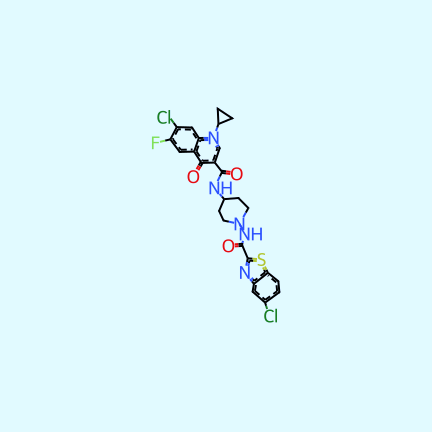 O=C(NN1CCC(NC(=O)c2cn(C3CC3)c3cc(Cl)c(F)cc3c2=O)CC1)c1nc2cc(Cl)ccc2s1